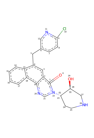 O=c1c2cc(Cc3ccc(Cl)nc3)c3ccccc3c2ncn1[C@H]1CCNC[C@@H]1O